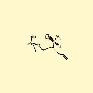 C=CC[C@H](CO[Si](C)(C)C(C)(C)C)S(N)(=O)=O